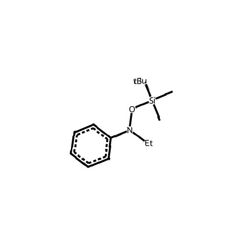 CCN(O[Si](C)(C)C(C)(C)C)c1ccccc1